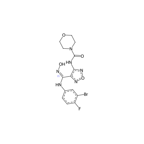 O=C(Nc1nonc1/C(=N\O)Nc1ccc(F)c(Br)c1)N1CCOCC1